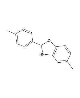 Cc1ccc(C2Nc3cc(C)ccc3O2)cc1